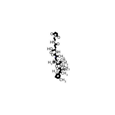 CN[C@H](C(=O)NC(C(=O)N(C)C/C=C(\C)C(=O)N[C@H](CCC(=O)NCCN1C(=O)C=CC1=O)C(=O)O)C(C)(C)C)C(C)(C)c1cccc(C)c1